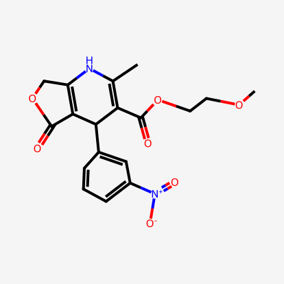 COCCOC(=O)C1=C(C)NC2=C(C(=O)OC2)C1c1cccc([N+](=O)[O-])c1